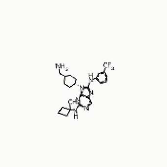 CC1(Nc2ncc3nc(Nc4cccc(C(F)(F)F)c4)n([C@H]4CC[C@H](CN)CC4)c3n2)CCC1